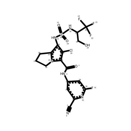 N#Cc1cc(NC(=O)c2c(Cl)c(NS(=O)(=O)NC(CO)C(F)(F)F)c3n2CCC3)cc(F)n1